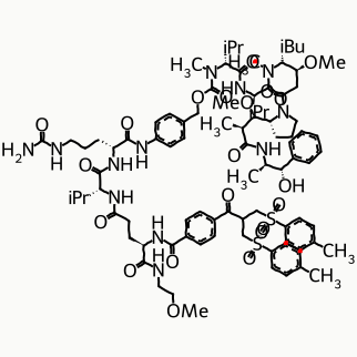 CC[C@@H](C)C([C@H](CC(=O)N1CCC[C@@H]1[C@H](OC)[C@H](C)C(=O)N[C@H](C)[C@@H](O)c1ccccc1)OC)N(C)C(=O)[C@H](NC(=O)[C@@H](C(C)C)N(C)C(=O)OCc1ccc(NC(=O)[C@@H](CCCNC(N)=O)NC(=O)[C@H](NC(=O)CC[C@@H](NC(=O)c2ccc(C(=O)C(CS(=O)(=O)c3ccc(C)cc3)CS(=O)(=O)c3ccc(C)cc3)cc2)C(=O)NCCOC)C(C)C)cc1)C(C)C